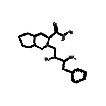 CC(C)(C)NC(=O)C1CC2CCCCC2CN1CC(O)C(N)Cc1ccccc1